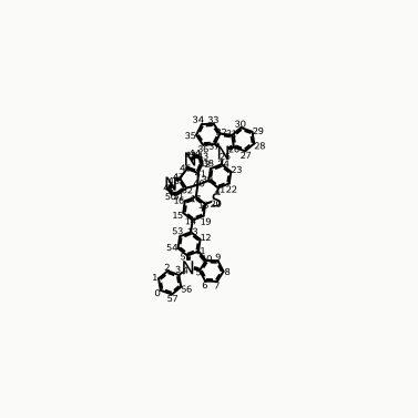 c1ccc(-n2c3ccccc3c3cc(-c4ccc5c(c4)Sc4ccc(-n6c7ccccc7c7ccccc76)cc4C54c5cccnc5-c5ncccc54)ccc32)cc1